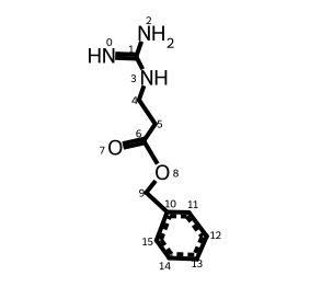 N=C(N)NCCC(=O)OCc1ccccc1